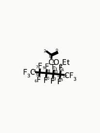 C=C(C)C(=O)OCC.FC(F)(F)C(F)(F)C(F)(F)C(F)(F)C(F)(F)C(F)(F)F